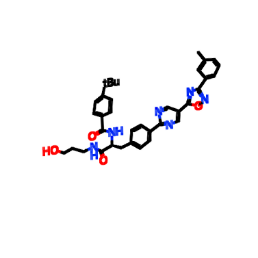 Cc1cccc(-c2noc(-c3cnc(-c4ccc(C[C@H](NC(=O)c5ccc(C(C)(C)C)cc5)C(=O)NCCCO)cc4)nc3)n2)c1